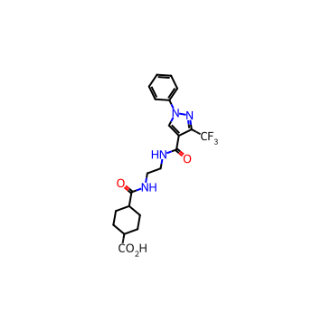 O=C(NCCNC(=O)C1CCC(C(=O)O)CC1)c1cn(-c2ccccc2)nc1C(F)(F)F